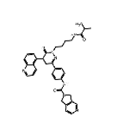 CC(N)C(=O)NCCCCN1N=C(c2ccc(NC(=O)N3Cc4ccncc4C3)cc2)CC(c2cccc3ncccc23)C1=O